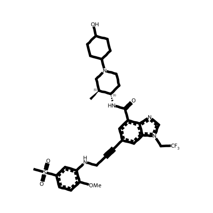 COc1ccc(S(C)(=O)=O)cc1NCC#Cc1cc(C(=O)N[C@H]2CCN(C3CCC(O)CC3)C[C@@H]2C)c2ncn(CC(F)(F)F)c2c1